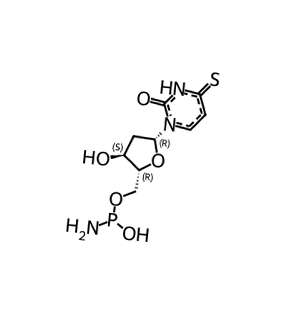 NP(O)OC[C@H]1O[C@@H](n2ccc(=S)[nH]c2=O)C[C@@H]1O